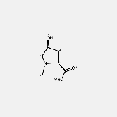 COC(=O)[C@@H]1C[C@H](O)CN1C